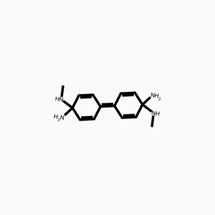 CNC1(N)C=CC(=C2C=CC(N)(NC)C=C2)C=C1